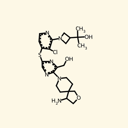 CC(C)(O)C1CN(c2nccc(Sc3cnc(N4CCC5(CC4)COCC5N)c(CO)n3)c2Cl)C1